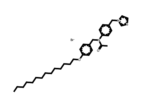 CCCCCCCCCCCCCCOc1ccc(CN(C(C)=O)c2ccc(C[n+]3ccsc3)cc2)cc1.[Br-]